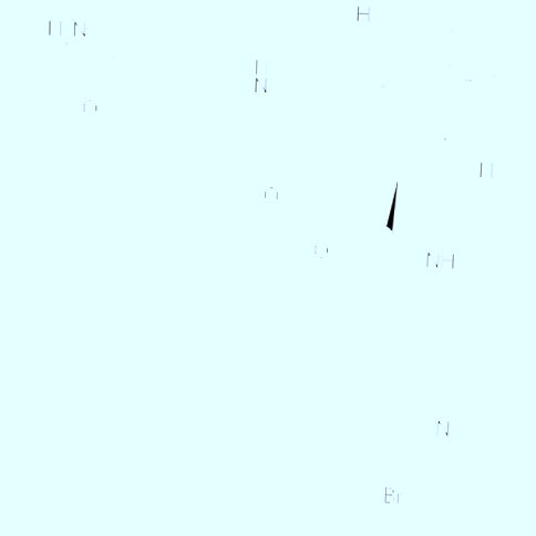 NC(=O)CCNC(=O)[C@H]1[C@H](C(=O)Nc2ccc(Br)nc2)[C@@H]2CC[C@H]1C21CC1